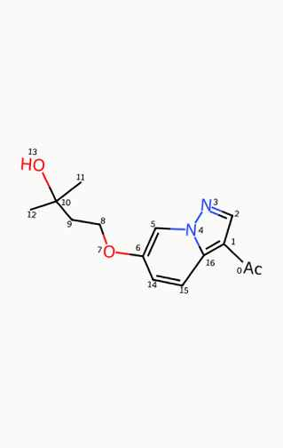 CC(=O)c1cnn2cc(OCCC(C)(C)O)ccc12